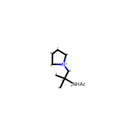 CC(=O)NC(C)(C)CN1CCCC1